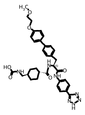 COCCOc1ccc(-c2ccc(C[C@H](NC(=O)[C@H]3CC[C@H](CNC(=O)O)CC3)C(=O)Nc3ccc(-c4nn[nH]n4)cc3)cc2)cc1